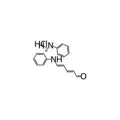 Cl.Nc1ccccc1.O=CC=CC=CNc1ccccc1